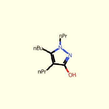 CCCCc1c(CCC)c(O)nn1CCC